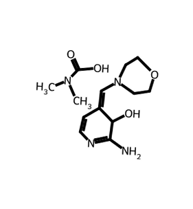 CN(C)C(=O)O.NC1=NC=CC(=CN2CCOCC2)C1O